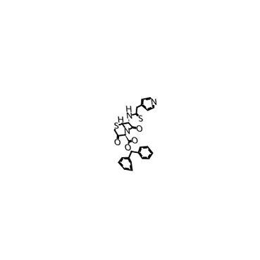 O=C1CS[C@H]2[C@H](NC(=S)Cc3ccncc3)C(=O)N2[C@H]1C(=O)OC(c1ccccc1)c1ccccc1